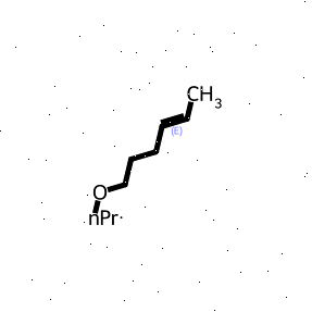 C/C=C/CCCO[CH]CC